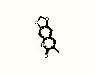 Cc1cc2cc3c(cc2[nH]c1=O)OCO3